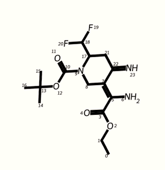 CCOC(=O)/C(N)=C1\CN(C(=O)OC(C)(C)C)C(C(F)F)CC1=N